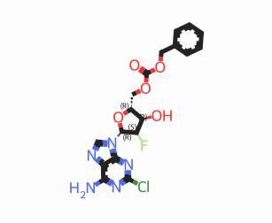 Nc1nc(Cl)nc2c1ncn2[C@@H]1O[C@H](COC(=O)OCc2ccccc2)[C@@H](O)[C@@H]1F